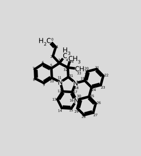 C=CCC1(C)c2ccccc2N2c3cccnc3N(c3ccccc3-c3ccccc3)C2C1(C)C